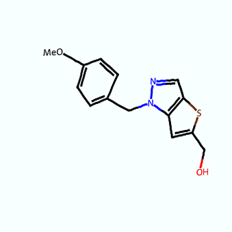 COc1ccc(Cn2ncc3sc(CO)cc32)cc1